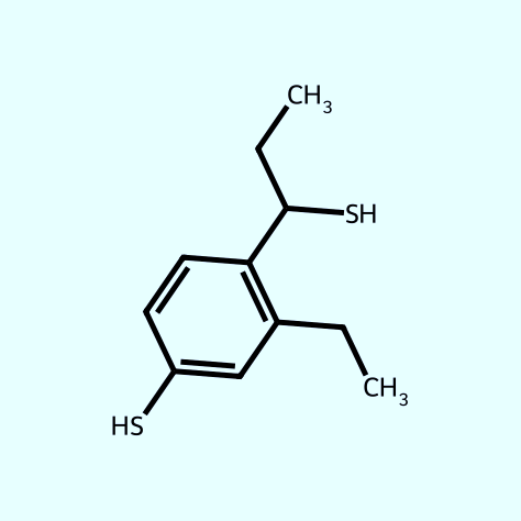 CCc1cc(S)ccc1C(S)CC